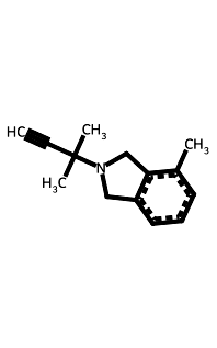 C#CC(C)(C)N1Cc2cccc(C)c2C1